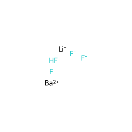 F.[Ba+2].[F-].[F-].[F-].[Li+]